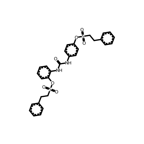 O=C(Nc1ccc(OS(=O)(=O)CCc2ccccc2)cc1)Nc1ccccc1OS(=O)(=O)CCc1ccccc1